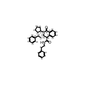 O=C(NCCc1ccccc1)[C@@H]1c2ccccc2C(=O)N(C2CCCC2)[C@H]1CCc1ccccc1